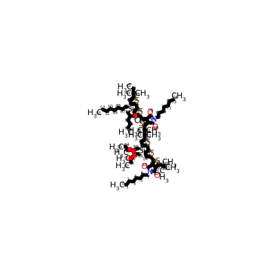 CCCCCCCCN1C(=O)c2c(-c3cc4c(s3)-c3sc(C(C)(C)C(C)(C)c5sc(-c6cc7c(s6)-c6sc(C(C)(C)CC)cc6[Si]7(CCCCCCCC)CC(CC)CCCC)c6c5C(=O)N(CCCCCCCC)C6=O)cc3[Si]4(CC(CC)CCCC)CC(CC)CCCC)sc(C(C)(C)C)c2C1=O